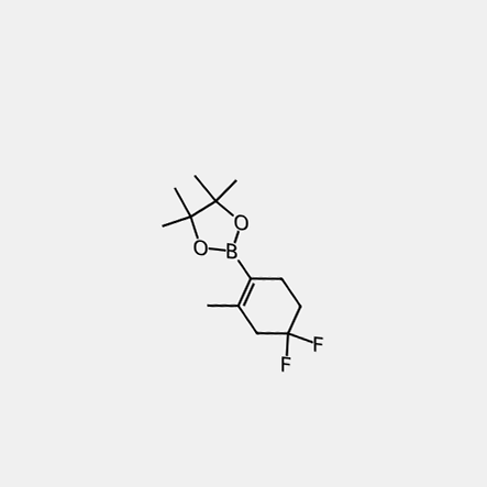 CC1=C(B2OC(C)(C)C(C)(C)O2)CCC(F)(F)C1